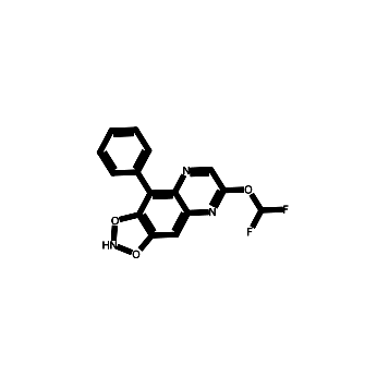 FC(F)Oc1cnc2c(-c3ccccc3)c3c(cc2n1)ONO3